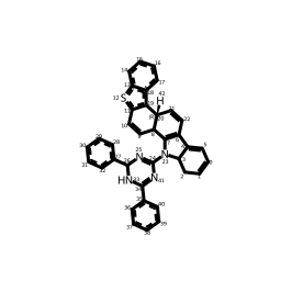 C1=CCC2C(=C1)C1=C(C3C=Cc4sc5ccccc5c4[C@@H]3C=C1)N2C1=NC(c2ccccc2)NC(c2ccccc2)=N1